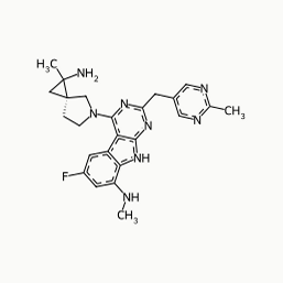 CNc1cc(F)cc2c1[nH]c1nc(Cc3cnc(C)nc3)nc(N3CC[C@]4(C3)CC4(C)N)c12